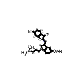 COc1ccc2c(c1)C(/C=C1\Oc3cc(Br)ccc3C1=O)CN2CCCN(C)C